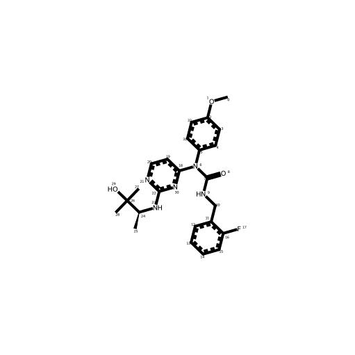 COc1ccc(N(C(=O)NCc2ccccc2F)c2ccnc(N[C@@H](C)C(C)(C)O)n2)cc1